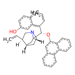 C=C[C@H]1CN2CC[C@H]1C[C@H]2[C@@H](Oc1cc2ccccc2c2ccccc12)C(/C=C\C)=c1\cc(O)ccc1=C